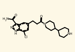 NC(=O)c1n[nH]c2c(Cl)cc(C[CH]C(=O)N3CCC(C4CCNCC4)CC3)cc12